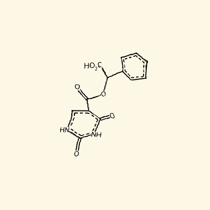 O=C(OC(C(=O)O)c1ccccc1)c1c[nH]c(=O)[nH]c1=O